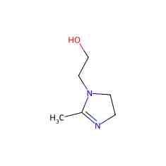 CC1=NCCN1CCO